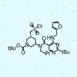 CCS(=O)(=O)C[C@H]1CC(N(CC(C)C)C(=O)c2cnc(C(C)(C)C)nc2NCc2ccco2)CN(C(=O)OC(C)(C)C)C1